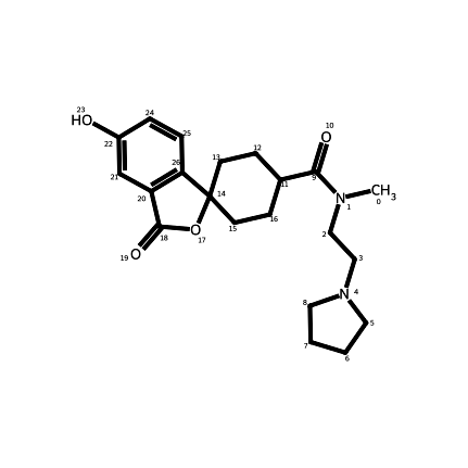 CN(CCN1CCCC1)C(=O)C1CCC2(CC1)OC(=O)c1cc(O)ccc12